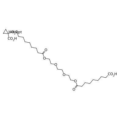 CCCCCCCC1(C(=O)O)CC1.O=C(O)CCCCCCCC(=O)OCCOCCOCCOC(=O)CCCCCCCC(=O)O